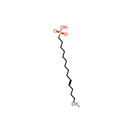 CCCC/C=C/CCCCCCCCCS(=O)(=O)O